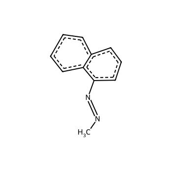 CN=Nc1cccc2ccccc12